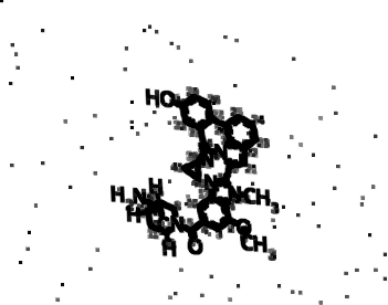 COc1cc(C(=O)N2C[C@H]3CC[C@@H]2C[C@@H]3N)cc2nc(-c3cc4cccc(-c5ccc(O)cc5C#N)c4n3CC3CC3)n(C)c12